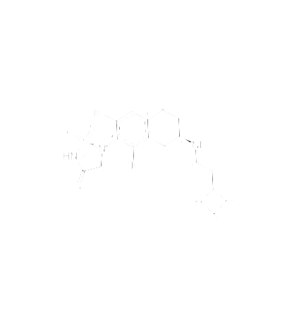 O=C1CN(c2c(O)cc3c(c2F)C[C@H](NCCC2CCC2)CC3)S(=O)(=O)N1